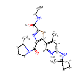 C[C@H]1CCCN1C(=O)c1nc(C(=O)NCC(C)(C)C)sc1-c1cnc(NC2(C)CCC2)cc1C(F)(F)F